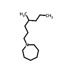 CCCC(C)CCCN1CCCCCC1